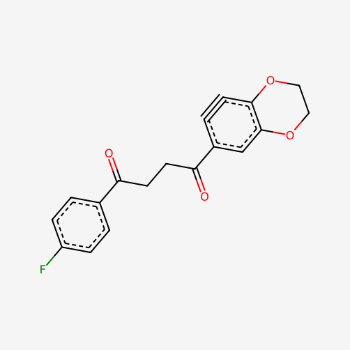 O=C(CCC(=O)c1ccc(F)cc1)c1c#cc2c(c1)OCCO2